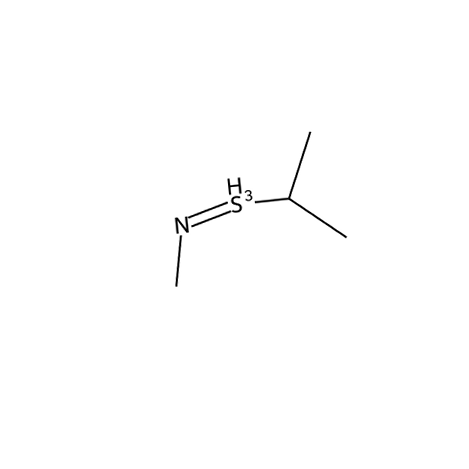 CN=[SH3]C(C)C